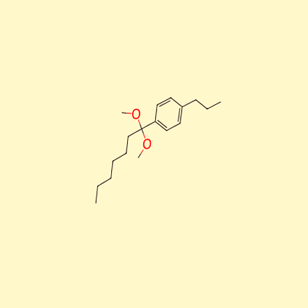 CCCCCCC(OC)(OC)c1ccc(CCC)cc1